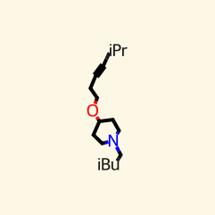 CCC(C)CN1CCC(OCCC#CC(C)C)CC1